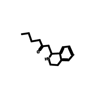 CCCCC(=O)CC1NCCc2c[c]ccc21